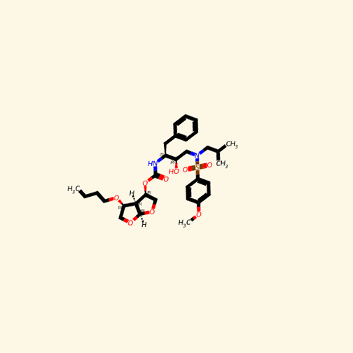 CCCCO[C@@H]1CO[C@@H]2OC[C@H](OC(=O)N[C@@H](Cc3ccccc3)[C@H](O)CN(CC(C)C)S(=O)(=O)c3ccc(OC)cc3)[C@@H]21